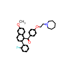 COc1ccc2c(C(=O)c3ccc(OCCN4CCCCCC4)cc3)c(-c3ccccc3F)ccc2c1